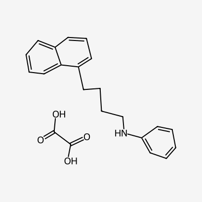 O=C(O)C(=O)O.c1ccc(NCCCCc2cccc3ccccc23)cc1